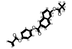 C=C(C)C(=O)Oc1ccc(OC(=O)c2ccc3cc(OC(=O)C(C)(C)C)ccc3c2)cc1